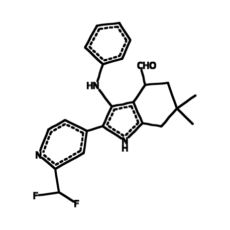 CC1(C)Cc2[nH]c(-c3ccnc(C(F)F)c3)c(Nc3ccccc3)c2C(C=O)C1